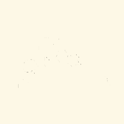 CC(C)(O)c1cc2nn([C@H]3CC[C@H](C=O)CC3)cc2cc1NC(=O)c1cccc(C(F)(F)F)n1